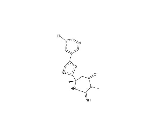 CN1C(=N)N[C@](C)(c2ncc(-c3cncc(Cl)c3)s2)CC1=O